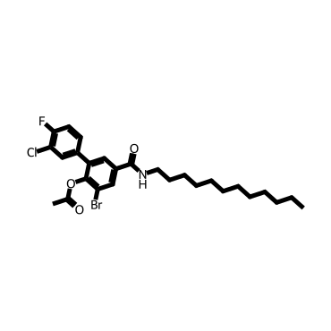 CCCCCCCCCCCCNC(=O)c1cc(Br)c(OC(C)=O)c(-c2ccc(F)c(Cl)c2)c1